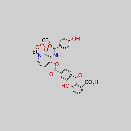 CCN1C=CC=C(OC(=O)c2ccc(C(=O)c3c(O)cccc3C(=O)O)cc2)C(NC(=O)c2ccc(O)cc2)=C1OC(=O)C(F)(F)F